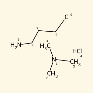 CN(C)C.Cl.NCCCCl